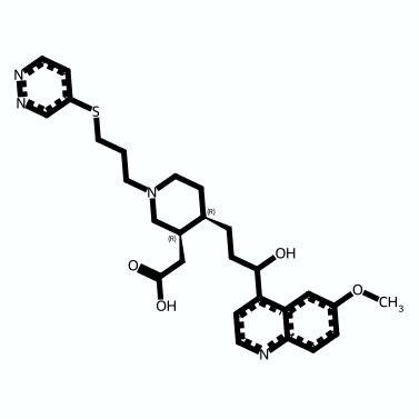 COc1ccc2nccc(C(O)CC[C@@H]3CCN(CCCSc4ccnnc4)C[C@@H]3CC(=O)O)c2c1